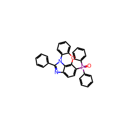 O=P(c1ccccc1)(c1ccccc1)c1ccc2nc(-c3ccccc3)n3c2c1Oc1ccccc1-3